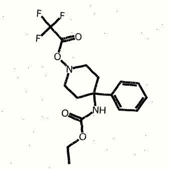 CCOC(=O)NC1(c2ccccc2)CCN(OC(=O)C(F)(F)F)CC1